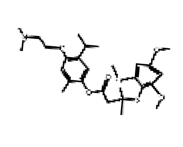 COc1cc(OC)c(SC(C)(C)CC(=O)Oc2cc(C(C)C)c(OCCN(C)C)cc2C)c(OC)c1